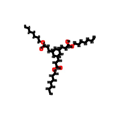 CCCCCCCOC(=O)CCC1CC(CCC(=O)OCCCCCCC)CC(CCC(=O)OCCCCCCC)C1